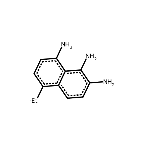 C[CH]c1ccc(N)c2c(N)c(N)ccc12